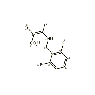 CCC(C(=O)O)=C(C)NCc1c(F)cccc1F